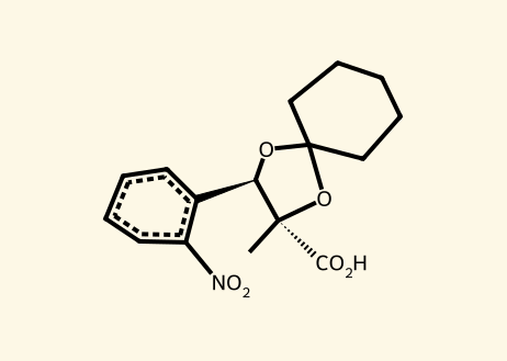 C[C@]1(C(=O)O)OC2(CCCCC2)O[C@@H]1c1ccccc1[N+](=O)[O-]